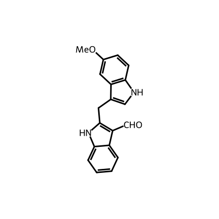 COc1ccc2[nH]cc(Cc3[nH]c4ccccc4c3C=O)c2c1